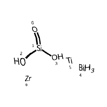 O=[Si](O)O.[BiH3].[Ti].[Zr]